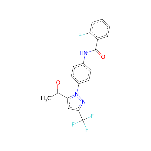 CC(=O)c1cc(C(F)(F)F)nn1-c1ccc(NC(=O)c2ccccc2F)cc1